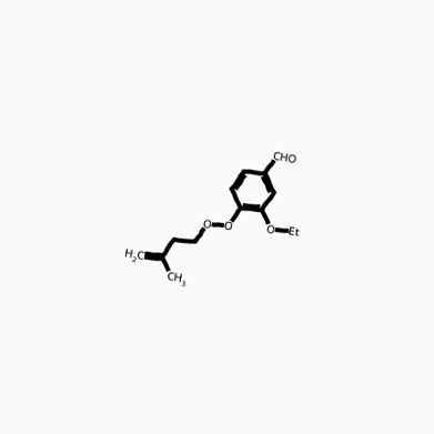 C=C(C)CCOOc1ccc(C=O)cc1OCC